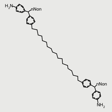 CCCCCCCCCC(c1ccc(N)cc1)c1ccc(CCCCCCCCCCCCCCCCCCCc2ccc(C(CCCCCCCCC)c3ccc(N)cc3)cc2)cc1